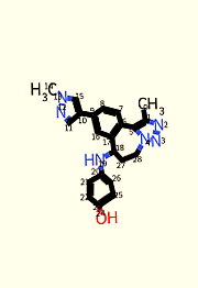 Cc1nnn2c1-c1ccc(-c3cnn(C)c3)cc1C(Nc1ccc(O)cc1)CC2